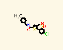 Cc1ccc(CNC(=O)c2cc3c(s2)-c2ccc(Cl)cc2S(=O)(=O)C3)cc1